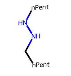 CCCCCCNNCCCCC